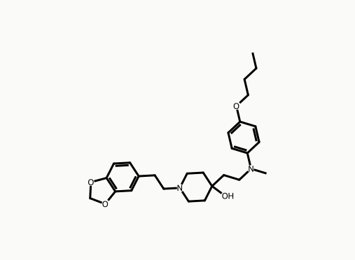 CCCCOc1ccc(N(C)CCC2(O)CCN(CCc3ccc4c(c3)OCO4)CC2)cc1